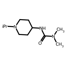 CC(C)N1CCC(NC(=O)N(C)C)CC1